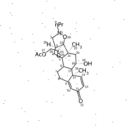 CCCN1C[C@@H]2CC3C4CCC5=CC(=O)C=C[C@]5(C)C4[C@@H](O)C[C@]3(C)[C@]2(C(=O)COC(C)=O)O1